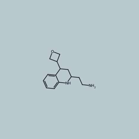 NCCC1CC(C2COC2)c2ccccc2N1